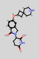 O=C1CCC(N2Cc3cc(OC4CC5(CCNCC5)C4)ccc3C2=O)C(=O)N1